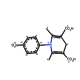 CC1=C(C(=O)O)CC(C(=O)O)=C(C)N1c1ccc([N+](=O)[O-])cc1